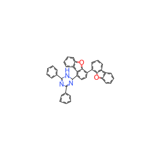 c1ccc(C2=NC(c3ccc(-c4cccc5c4oc4ccccc45)c4oc5ccccc5c34)NC(c3ccccc3)=N2)cc1